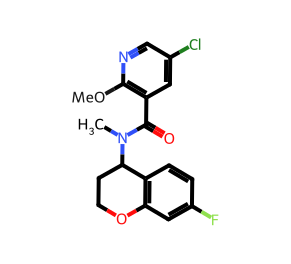 COc1ncc(Cl)cc1C(=O)N(C)C1CCOc2cc(F)ccc21